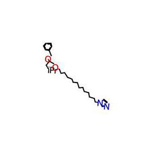 CC(C)CC(COCCCCCCCCCCCCCCn1ccnc1)OCc1ccccc1